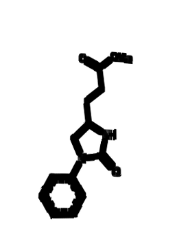 COC(=O)CCC1CN(c2ccccc2)C(=O)N1